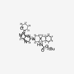 CC(C)(C)OC(=O)NC1c2ccccc2CC12CCN(c1cnc3cnn(C4CCCCO4)c3n1)CC2